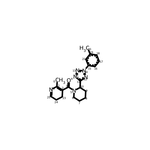 CC1=C(C(=O)N2CCCCC2c2nnn(-c3cccc(C)c3)n2)CCC=N1